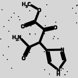 COC(=O)C(=O)C(C(N)=O)c1c[nH]cn1